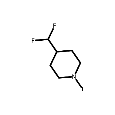 FC(F)C1CCN(I)CC1